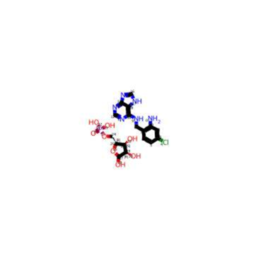 Nc1cc(Cl)ccc1CNc1ncnc2nc[nH]c12.O=P(O)(O)OC[C@H]1OC(O)[C@H](O)[C@@H]1O